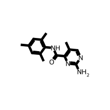 Cc1cc(C)c(NC(=O)c2nc(N)ncc2C)c(C)c1